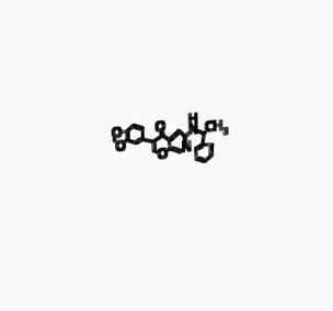 CC(Nc1cc2c(=O)c(-c3ccc4c(c3)OCO4)coc2cn1)c1ccccc1